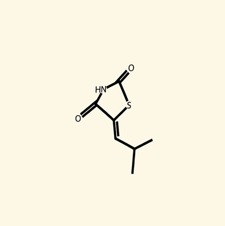 CC(C)C=C1SC(=O)NC1=O